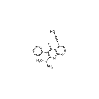 CC(N)c1nc2cccc(C#CO)c2c(=O)n1-c1ccccc1